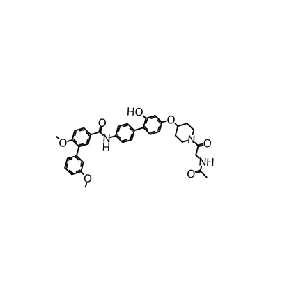 COc1cccc(-c2cc(C(=O)Nc3ccc(-c4ccc(OC5CCN(C(=O)CNC(C)=O)CC5)cc4O)cc3)ccc2OC)c1